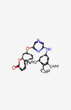 COc1cc(Nc2cncc(Oc3ccc4ccc(=O)oc4c3)n2)cc(OC)c1OC